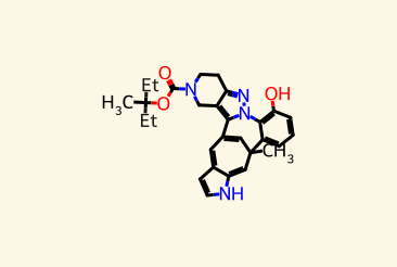 CCC(C)(CC)OC(=O)N1CCc2nn3c(c2C1)C1=CC(C)(C=c2[nH]ccc2=C1)c1cccc(O)c1-3